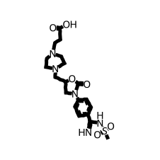 CS(=O)(=O)NC(=N)c1ccc(N2CC(CN3CCN(CCC(=O)O)CC3)OC2=O)cc1